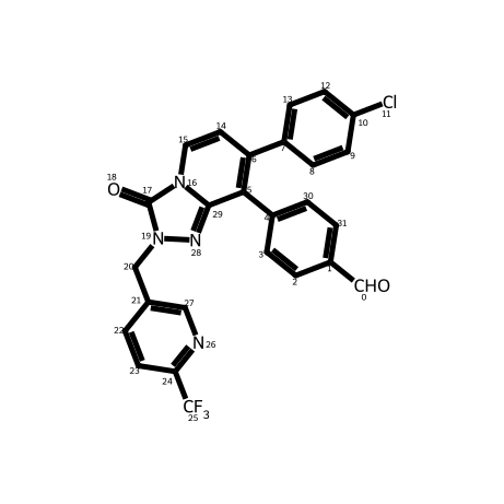 O=Cc1ccc(-c2c(-c3ccc(Cl)cc3)ccn3c(=O)n(Cc4ccc(C(F)(F)F)nc4)nc23)cc1